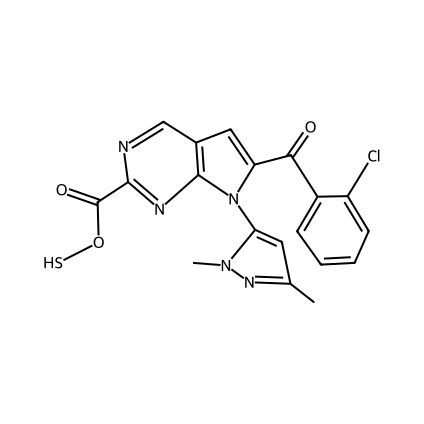 Cc1cc(-n2c(C(=O)c3ccccc3Cl)cc3cnc(C(=O)OS)nc32)n(C)n1